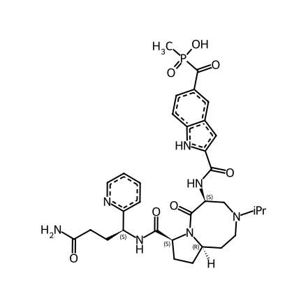 CC(C)N1CC[C@H]2CC[C@@H](C(=O)N[C@@H](CCC(N)=O)c3ccccn3)N2C(=O)[C@@H](NC(=O)c2cc3cc(C(=O)P(C)(=O)O)ccc3[nH]2)C1